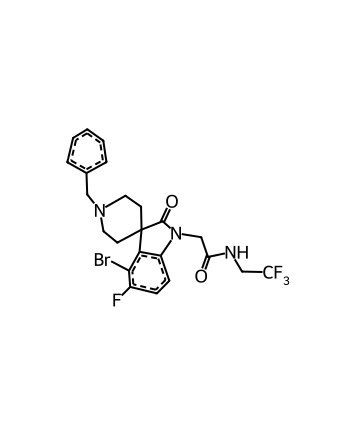 O=C(CN1C(=O)C2(CCN(Cc3ccccc3)CC2)c2c1ccc(F)c2Br)NCC(F)(F)F